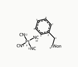 CCCCCCCCCCc1ccccc1.[C-]#[N+][Pt]([N+]#[C-])([N+]#[C-])[N+]#[C-]